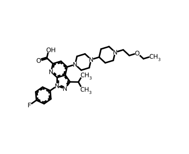 CCOCCN1CCC(N2CCN(c3cc(C(=O)O)nc4c3c(C(C)C)nn4-c3ccc(F)cc3)CC2)CC1